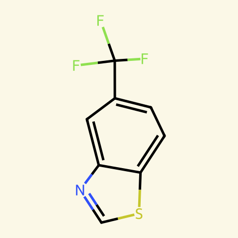 FC(F)(F)c1ccc2scnc2c1